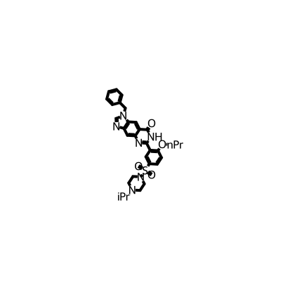 CCCOc1ccc(S(=O)(=O)N2CCN(C(C)C)CC2)cc1-c1nc2cc3ncn(Cc4ccccc4)c3cc2c(=O)[nH]1